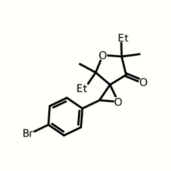 CCC1(C)OC(C)(CC)C2(OC2c2ccc(Br)cc2)C1=O